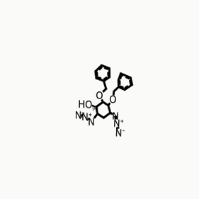 [N-]=[N+]=NC1CC(N=[N+]=[N-])[C@@H](O)C(OCc2ccccc2)C1OCc1ccccc1